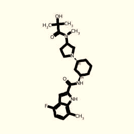 Cc1ccc(F)c2cc(C(=O)N[C@@H]3CCC[C@@H](N4CCC(N(C)C(=O)C(C)(C)O)C4)C3)[nH]c12